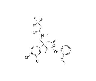 C=CC[C@@](CN(C)C(=O)CC(F)(F)F)(c1ccc(Cl)c(Cl)c1)N(C)C(=O)Oc1ccccc1OC